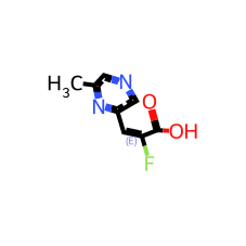 Cc1cncc(/C=C(/F)C(=O)O)n1